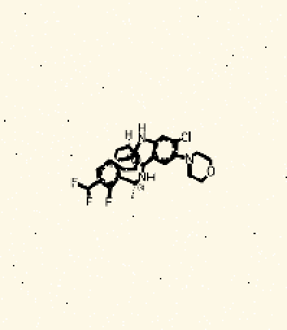 C[C@@H](NC(=O)c1cc(N2CCOCC2)c(Cl)cc1N[C@@H]1CN2CCC1CC2)c1cccc(C(F)F)c1F